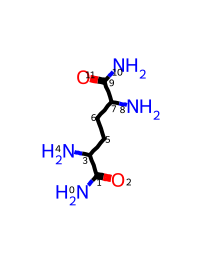 NC(=O)C(N)CCC(N)C(N)=O